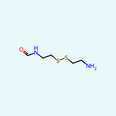 NCCSSCCNC=O